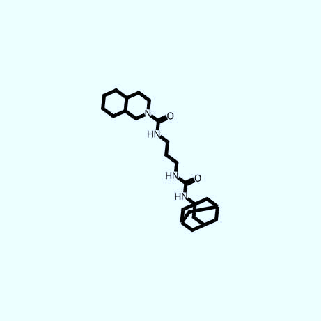 O=C(NCCCNC(=O)N1CCC2CCCCC2C1)NC12CC3CC(CC(C3)C1)C2